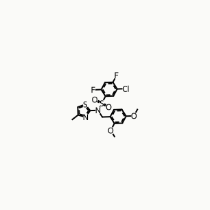 COc1ccc(CN(c2nc(C)cs2)S(=O)(=O)c2cc(Cl)c(F)cc2F)c(OC)c1